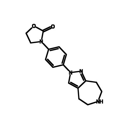 O=C1OCCN1c1ccc(-n2cc3c(n2)CCNCC3)cc1